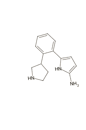 Nc1ccc(-c2ccccc2C2CCNC2)[nH]1